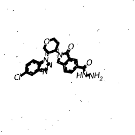 NNC(=O)c1ccc2c(c1)C(=O)N([C@@H]1CCOC[C@H]1n1nnc3cc(Cl)ccc31)C2